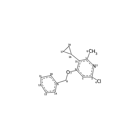 Cc1nc(Cl)cc(OCc2ccccc2)c1C1CC1